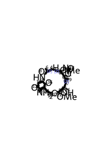 CO[C@@H]1/C=C\C=C(\C)C(=O)NC2=CC(=O)C(N)=C(C[C@@H](C)C[C@@H](OC)[C@@H](O)[C@H](C)/C=C(/C)[C@H]1OC(N)=O)C2=O